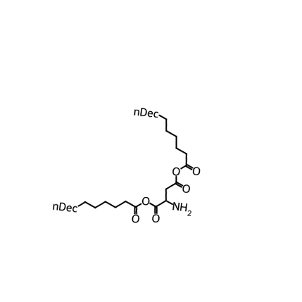 CCCCCCCCCCCCCCCC(=O)OC(=O)CC(N)C(=O)OC(=O)CCCCCCCCCCCCCCC